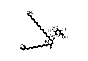 CCCCCCCCCCCCCC[C@@H](O)[C@@H](O)[C@@H](/C=C(/F)CCCCCCCCCCC1CCOC1)COC1OC(CO)C(O)C(O)C1O